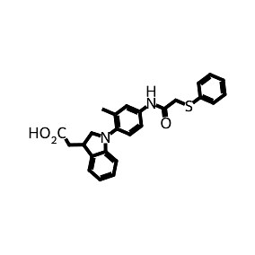 Cc1cc(NC(=O)CSc2ccccc2)ccc1N1CC(CC(=O)O)c2ccccc21